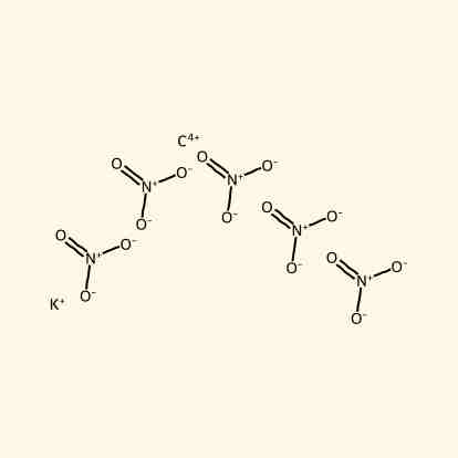 O=[N+]([O-])[O-].O=[N+]([O-])[O-].O=[N+]([O-])[O-].O=[N+]([O-])[O-].O=[N+]([O-])[O-].[C+4].[K+]